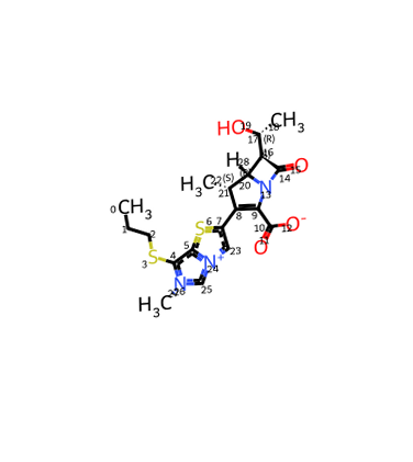 CCCSc1c2sc(C3=C(C(=O)[O-])N4C(=O)[C@H]([C@@H](C)O)[C@H]4[C@H]3C)c[n+]2cn1C